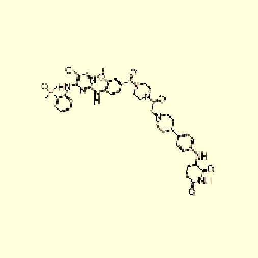 COc1cc(C(=O)N2CCN(C(=O)CN3CCC(c4ccc(NC5CCC(=O)NC5=O)cc4)CC3)CC2)ccc1Nc1ncc(Cl)c(Nc2ccccc2P(C)(C)=O)n1